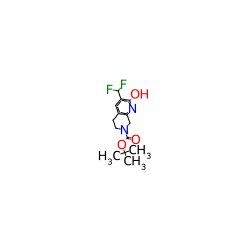 CC(C)(C)OC(=O)N1CCc2cc(C(F)F)c(O)nc2C1